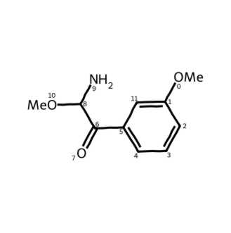 COc1cccc(C(=O)C(N)OC)c1